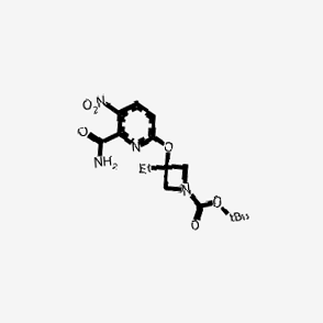 CCC1(Oc2ccc([N+](=O)[O-])c(C(N)=O)n2)CN(C(=O)OC(C)(C)C)C1